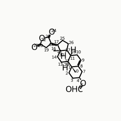 C[C@]12CC[C@H](OC=O)CC1=CC[C@@H]1[C@@H]2CC[C@]2(C)/C(=C3\CC(=O)OC3=O)CC[C@@H]12